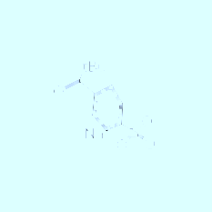 CC(C)(C)C(=O)c1ccc(S(=O)(=O)[O-])cc1.[Na+]